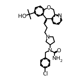 CC(C)(O)c1ccc2c(c1)/C(=C/CCN1CCC(N(Cc3ccc(Cl)cc3)C(N)=O)C1)c1cccnc1CO2